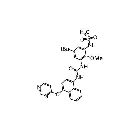 COc1c(NC(=O)Nc2ccc(Oc3ccncn3)c3ccccc23)cc(C(C)(C)C)cc1NS(C)(=O)=O